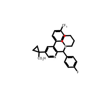 O=C(O)C1(c2cnc(C(c3ccc(F)cc3)N3CCCCC3)c(-c3ccc(C(F)(F)F)cc3)c2)CC1